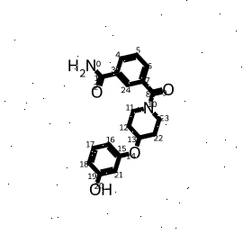 NC(=O)c1cccc(C(=O)N2CCC(Oc3cccc(O)c3)CC2)c1